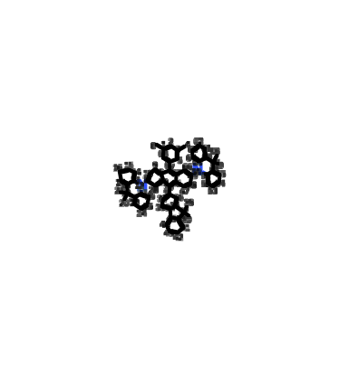 Cc1cc(C)cc(-c2c3ccc(N4c5ccccc5C(C)(C)c5ccccc54)cc3c(-c3ccc4c(c3)C(C)(C)c3ccccc3-4)c3ccc(N4c5ccccc5C(C)(C)c5ccccc54)cc23)c1